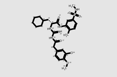 CNS(=O)(=O)c1ccc(C)c(NC(=O)[C@@H](CC2CCCCC2)NC(=N)NC(=O)Cc2ccc(OC)c(Cl)c2)c1